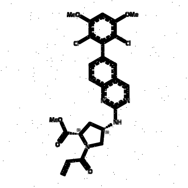 C=CC(=O)N1C[C@@H](Nc2ncc3cc(-c4c(Cl)c(OC)cc(OC)c4Cl)ccc3n2)C[C@H]1C(=O)OC